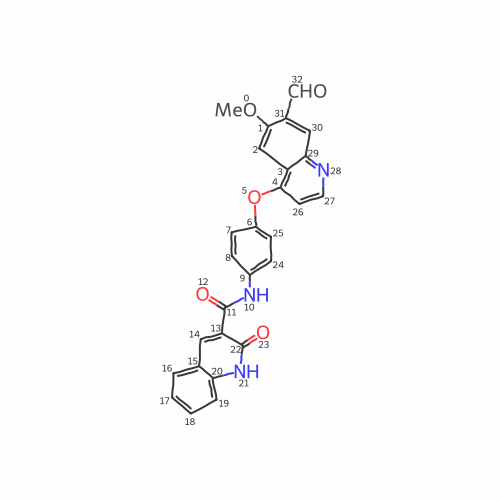 COc1cc2c(Oc3ccc(NC(=O)c4cc5ccccc5[nH]c4=O)cc3)ccnc2cc1C=O